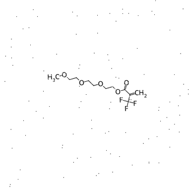 C=C(C(=O)OCCOCCOCCOC)C(F)(F)F